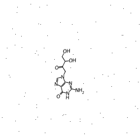 Nc1nc2c(ncn2CC(=O)C(O)CO)c(=O)[nH]1